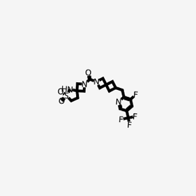 O=C(N1CC2(CC(Cc3ncc(C(F)(F)F)cc3F)C2)C1)N1CC2(CCS(=O)(=O)N2)C1